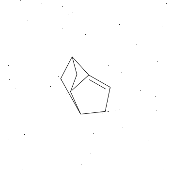 [CH]1C=C2C3CC1C2C3